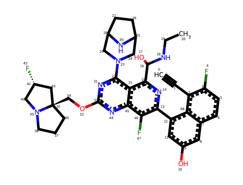 C#Cc1c(F)ccc2cc(O)cc(-c3nc(C(O)NCC)c4c(N5CC6CCC(C5)N6)nc(OC[C@@]56CCCN5C[C@H](F)C6)nc4c3F)c12